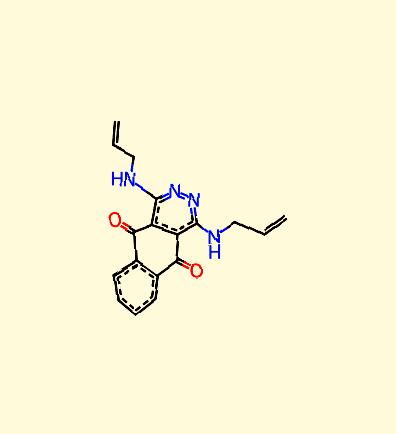 C=CCNc1nnc(NCC=C)c2c1C(=O)c1ccccc1C2=O